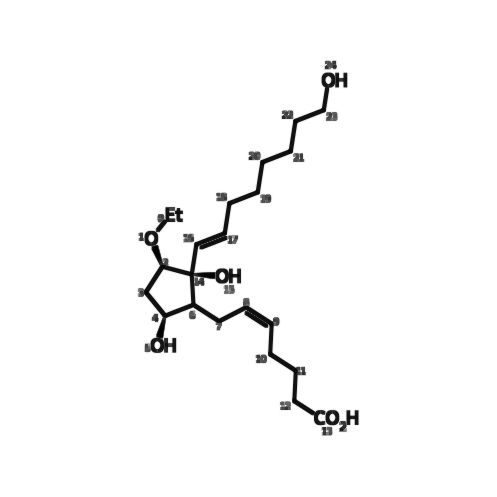 CCO[C@@H]1C[C@H](O)C(C/C=C\CCCC(=O)O)[C@@]1(O)/C=C/CCCCCCO